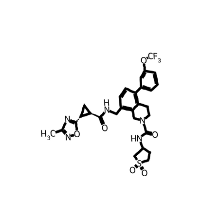 Cc1noc([C@@H]2C[C@H]2C(=O)NCc2ccc(-c3cccc(OC(F)(F)F)c3)c3c2CN(C(=O)NC2CCS(=O)(=O)C2)CC3)n1